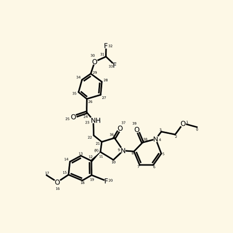 COCCn1cccc(N2C[C@@H](c3ccc(OC)cc3F)C(CNC(=O)c3ccc(OC(F)F)cc3)C2=O)c1=O